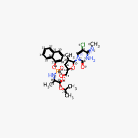 C/N=C(N)\C(Cl)=C/N(C=O)C1OC(CO[P@](=O)(NC(C)C(=O)OC(C)C)Oc2cccc3ccccc23)CC1C